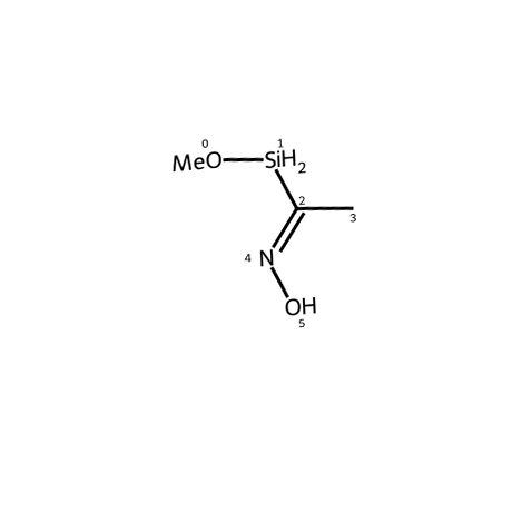 CO[SiH2]C(C)=NO